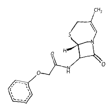 CC1=CN2C(=O)C(NC(=O)COc3ccccc3)[C@@H]2SC1